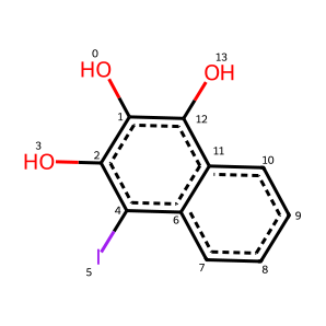 Oc1c(O)c(I)c2ccccc2c1O